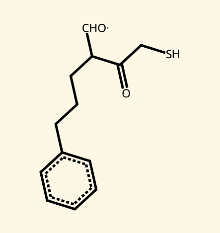 O=[C]C(CCCc1ccccc1)C(=O)CS